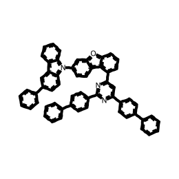 c1ccc(-c2ccc(-c3cc(-c4cccc5oc6cc(-n7c8ccccc8c8cc(-c9ccccc9)ccc87)ccc6c45)nc(-c4ccc(-c5ccccc5)cc4)n3)cc2)cc1